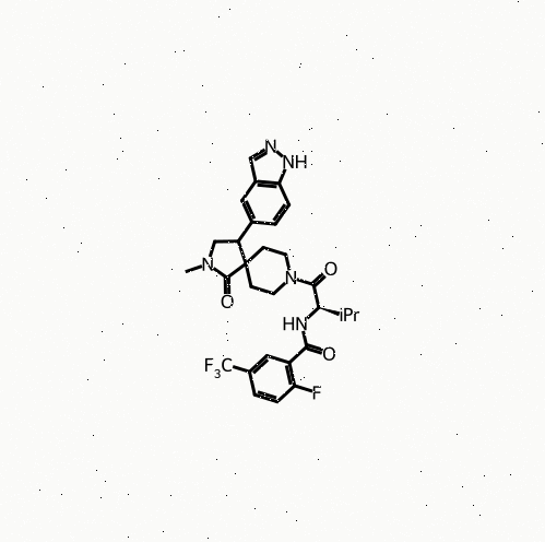 CC(C)[C@@H](NC(=O)c1cc(C(F)(F)F)ccc1F)C(=O)N1CCC2(CC1)C(=O)N(C)CC2c1ccc2[nH]ncc2c1